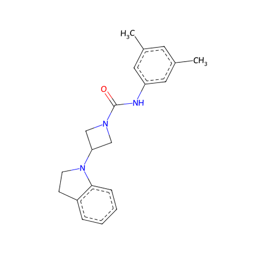 Cc1cc(C)cc(NC(=O)N2CC(N3CCc4ccccc43)C2)c1